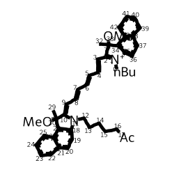 CCCC[N+]1=C(/C=C/C=C/C=C/C=C2\N(CCCCCC(C)=O)c3ccc4ccccc4c3C2(C)OC)C(C)(OC)c2c1ccc1ccccc21